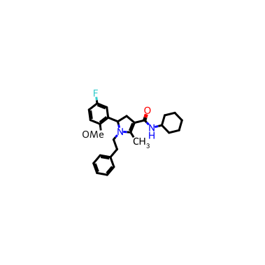 COc1ccc(F)cc1C1CC(C(=O)NC2CCCCC2)=C(C)N1CCc1ccccc1